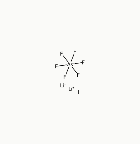 F[As-](F)(F)(F)(F)F.[I-].[Li+].[Li+]